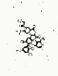 C=CC(=O)N1CC2C(=O)Nc3c(c4cc(Cl)c(-c5cc(O)cc(Cl)c5Cl)nc4n(-c4c(C)ccnc4C(C)C)c3=O)N2CC1C